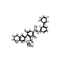 Cc1cc(NSc2cccc(-c3ccccc3)c2)c(C)c(C(C)OC(C)(C)C)c1-c1ccc2c(c1)CCCO2